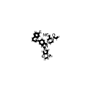 C=CC(=O)N1CCN(c2nc(N3CC4OCCN(C)C4C3)nc3c2CCC(N2CCCc4ccc(F)cc42)C3)CC1CC#N